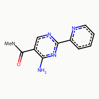 CNC(=O)c1cnc(-c2ccccn2)nc1N